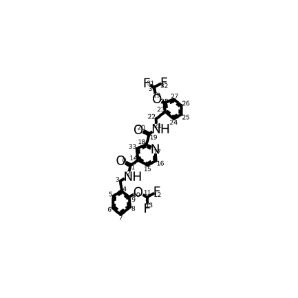 O=C(NCc1ccccc1OC(F)F)c1ccnc(C(=O)NCc2ccccc2OC(F)F)c1